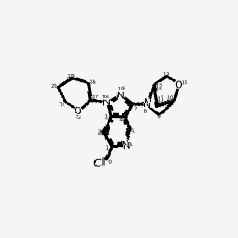 Clc1cc2c(cn1)c(N1CC3CC1CO3)nn2C1CCCCO1